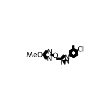 COc1cnc(OCc2cn(-c3ccc(Cl)c(C)c3)nn2)nc1